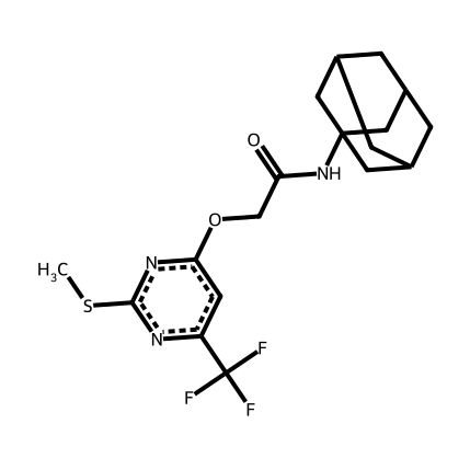 CSc1nc(OCC(=O)NC23CC4CC(CC(C4)C2)C3)cc(C(F)(F)F)n1